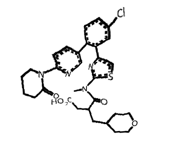 CN(C(=O)C(CC(=O)O)CC1CCOCC1)c1nc(-c2cc(Cl)ccc2-c2ccc(N3CCCCC3=O)nc2)cs1